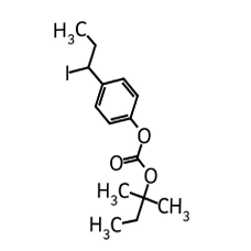 CCC(I)c1ccc(OC(=O)OC(C)(C)CC)cc1